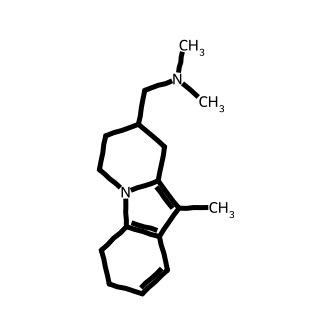 Cc1c2c(n3c1CC(CN(C)C)CC3)CCC=C2